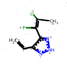 C=Cc1n[nH]nc1/C(F)=C(\C)Cl